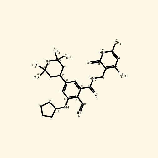 Cc1cc(C)c(CNC(=O)c2cc(C3CC(C)(C)NC(C)(C)C3)cc(NC3CCCC3)c2C=N)c(=O)[nH]1